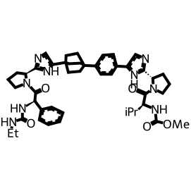 CCNC(=O)N[C@@H](C(=O)N1CCC[C@H]1c1ncc(C23CCC(c4ccc(-c5cnc([C@@H]6CCCN6C(=O)[C@@H](NC(=O)OC)C(C)C)[nH]5)cc4)(CC2)CC3)[nH]1)c1ccccc1